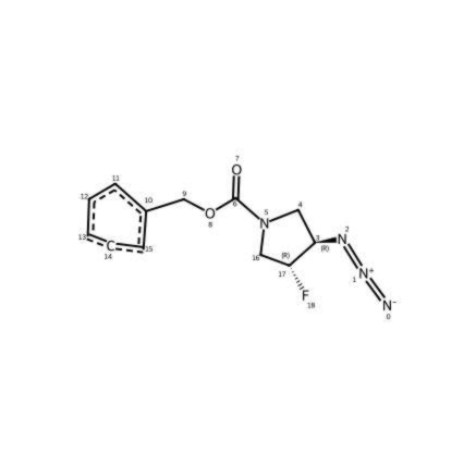 [N-]=[N+]=N[C@@H]1CN(C(=O)OCc2ccccc2)C[C@H]1F